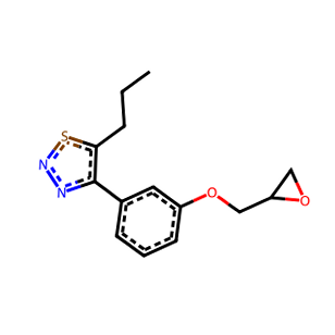 CCCc1snnc1-c1cccc(OCC2CO2)c1